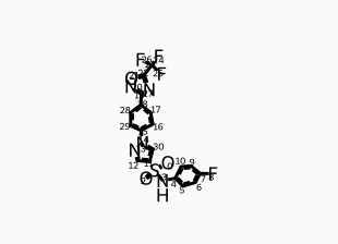 O=S(=O)(Nc1ccc(F)cc1)c1cnn(-c2ccc(-c3noc(C(F)(F)F)n3)cc2)c1